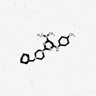 CC1CCC(Nc2cc(N(C)C)nc(N3CCN(Cc4ccccc4)CC3)n2)CC1